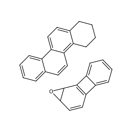 C1=CC2OC2C2=C1c1ccccc12.c1ccc2c(c1)ccc1c3c(ccc12)CCCC3